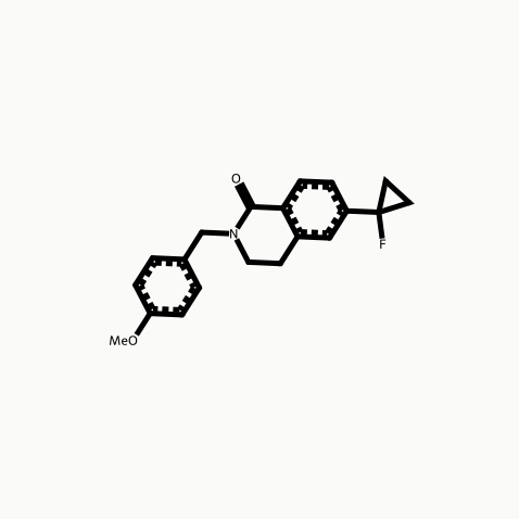 COc1ccc(CN2CCc3cc(C4(F)CC4)ccc3C2=O)cc1